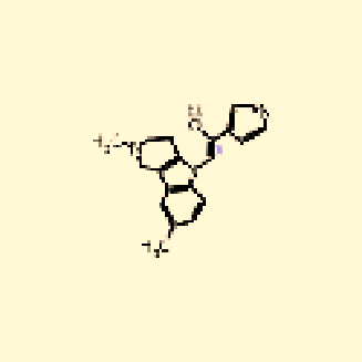 CCO/C(=C\n1c2c(c3cc(C)ccc31)CN(C)CC2)c1ccncc1